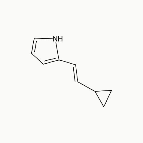 C(=CC1CC1)c1ccc[nH]1